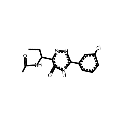 CCC(NC(C)=O)c1nnc(-c2cccc(Cl)c2)[nH]c1=O